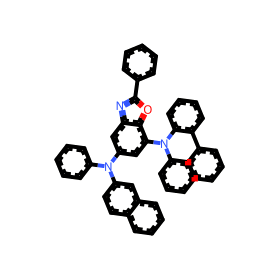 c1ccc(-c2nc3cc(N(c4ccccc4)c4ccc5ccccc5c4)cc(N(c4ccccc4)c4ccccc4-c4ccccc4)c3o2)cc1